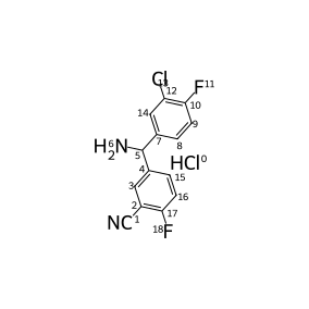 Cl.N#Cc1cc(C(N)c2ccc(F)c(Cl)c2)ccc1F